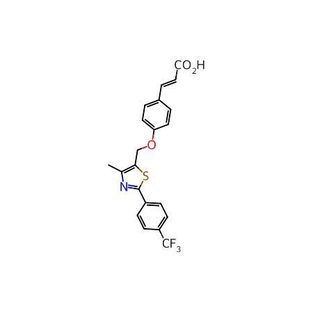 Cc1nc(-c2ccc(C(F)(F)F)cc2)sc1COc1ccc(C=CC(=O)O)cc1